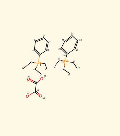 CC[P+](CC)(CC)c1ccccc1.CC[P+](CC)(CC)c1ccccc1.O=C([O-])C(=O)[O-]